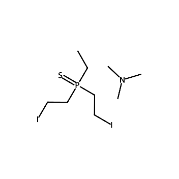 CCP(=S)(CCI)CCI.CN(C)C